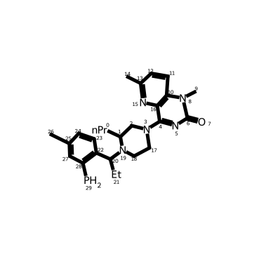 CCCC1CN(c2nc(=O)n(C)c3ccc(C)nc23)CCN1C(CC)c1ccc(C)cc1P